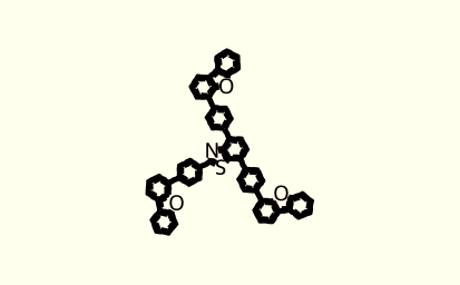 c1ccc2c(c1)oc1c(-c3ccc(-c4nc5c(-c6ccc(-c7cccc8c7oc7ccccc78)cc6)ccc(-c6ccc(-c7cccc8c7oc7ccccc78)cc6)c5s4)cc3)cccc12